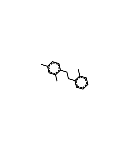 Cc1ccc(CCc2ccccc2C)c(C)c1